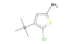 Bc1cc([Si](C)(C)C)c(Cl)s1